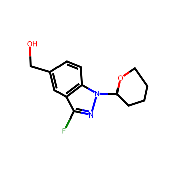 OCc1ccc2c(c1)c(F)nn2C1CCCCO1